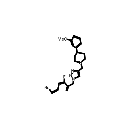 C=C(Cn1cc(CN2CCC(c3cccc(OC)c3)CC2)nn1)/C(F)=C\C=C/C(C)CC